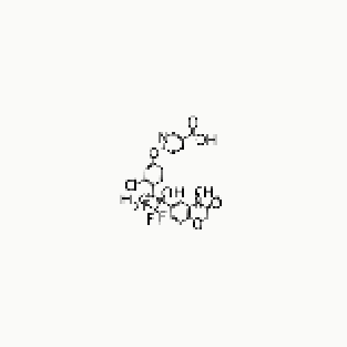 C[C@H](c1ccc(Oc2ccc(C(=O)O)cn2)cc1Cl)[C@@](O)(c1ccc2c(c1)N(C)C(=O)CO2)C(F)(F)F